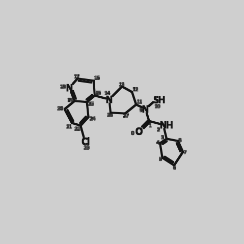 O=C(Nc1ccccc1)N(S)C1CCN(c2ccnc3ccc(Cl)cc23)CC1